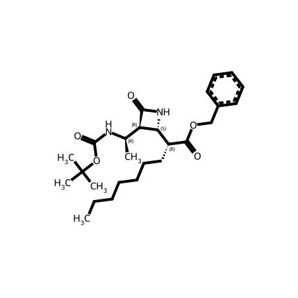 CCCCCCC[C@@H](C(=O)OCc1ccccc1)[C@H]1NC(=O)[C@@H]1[C@@H](C)NC(=O)OC(C)(C)C